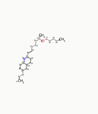 C=CCc1ccc2nc(C=CCCCC(C)OCCCCC)ccc2c1